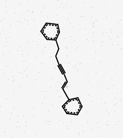 C(#CCCc1ccccc1)/C=C/c1ccccc1